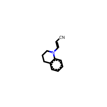 N#CC=CN1CCCc2ccccc21